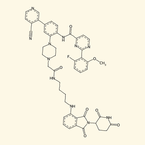 COc1cccc(F)c1-c1nccc(C(=O)Nc2ccc(-c3cnccc3C#N)cc2N2CCN(CC(=O)NCCCCNc3cccc4c3C(=O)N(C3CCC(=O)NC3=O)C4=O)CC2)n1